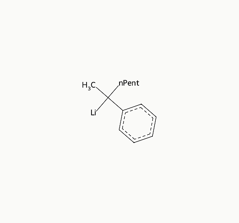 [Li][C](C)(CCCCC)c1ccccc1